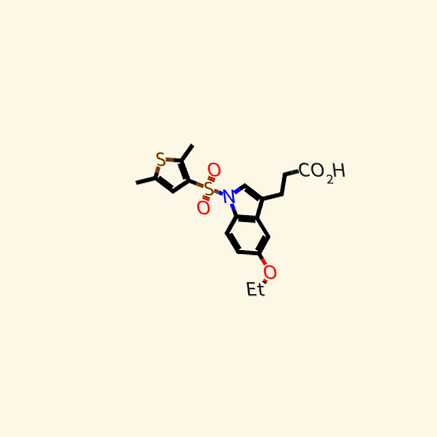 CCOc1ccc2c(c1)c(CCC(=O)O)cn2S(=O)(=O)c1cc(C)sc1C